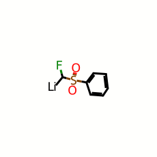 [Li][CH](F)S(=O)(=O)c1ccccc1